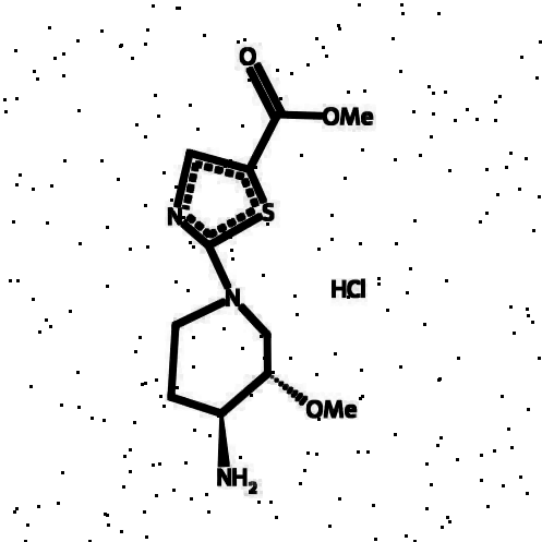 COC(=O)c1cnc(N2CC[C@H](N)[C@@H](OC)C2)s1.Cl